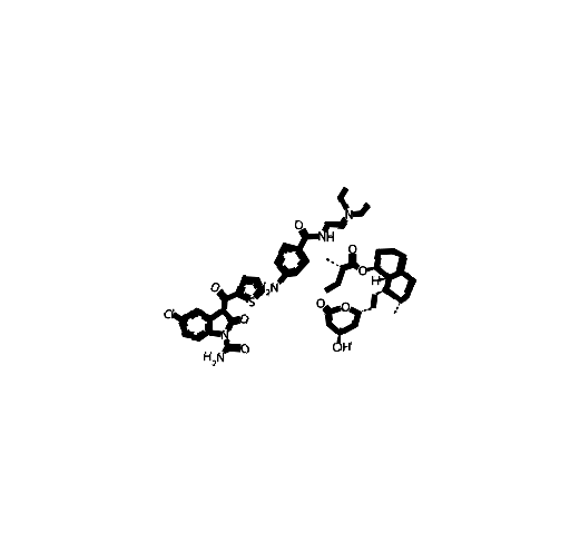 CCN(CC)CCNC(=O)c1ccc(N)cc1.CC[C@H](C)C(=O)O[C@H]1CCC=C2C=C[C@H](C)[C@H](CC[C@@H]3C[C@@H](O)CC(=O)O3)[C@H]21.NC(=O)N1C(=O)C(C(=O)c2cccs2)c2cc(Cl)ccc21